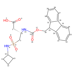 O=C(O)C[C@@H](CS(=O)(=O)NC1CCC1)NC(=O)OCC1c2ccccc2-c2ccccc21